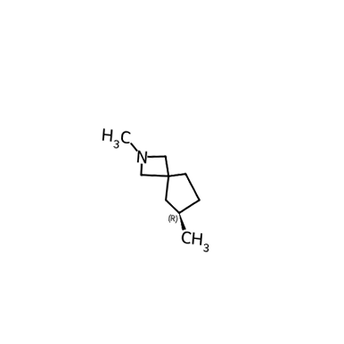 C[C@@H]1CCC2(C1)CN(C)C2